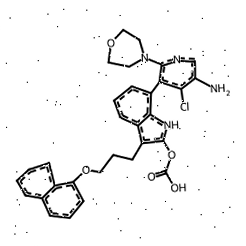 Nc1cnc(N2CCOCC2)c(-c2cccc3c(CCCOc4cccc5ccccc45)c(OC(=O)O)[nH]c23)c1Cl